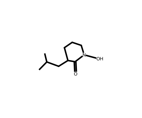 CC(C)CC1CCCN(O)C1=O